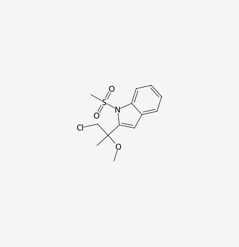 COC(C)(CCl)c1cc2ccccc2n1S(C)(=O)=O